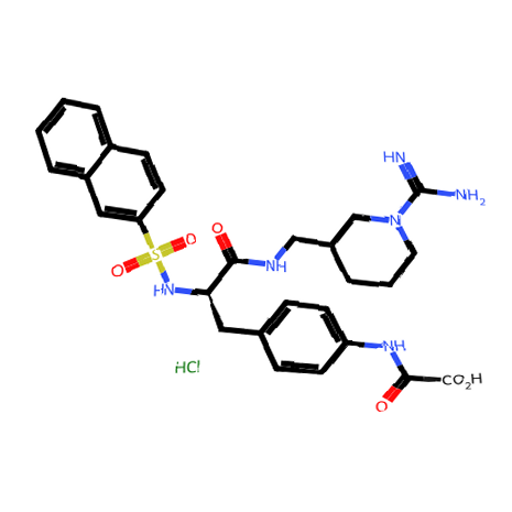 Cl.N=C(N)N1CCCC(CNC(=O)[C@@H](Cc2ccc(NC(=O)C(=O)O)cc2)NS(=O)(=O)c2ccc3ccccc3c2)C1